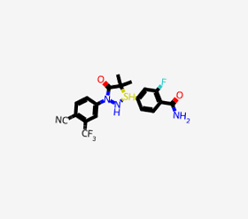 CC1(C)C(=O)N(c2ccc(C#N)c(C(F)(F)F)c2)N[SH]1c1ccc(C(N)=O)c(F)c1